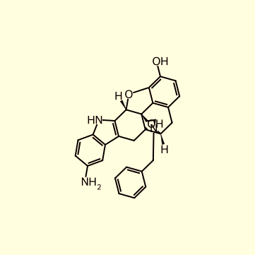 Nc1ccc2[nH]c3c(c2c1)C[C@@]1(O)[C@H]2Cc4ccc(O)c5c4[C@@]1(CCN2Cc1ccccc1)[C@H]3O5